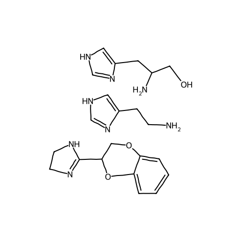 NC(CO)Cc1c[nH]cn1.NCCc1c[nH]cn1.c1ccc2c(c1)OCC(C1=NCCN1)O2